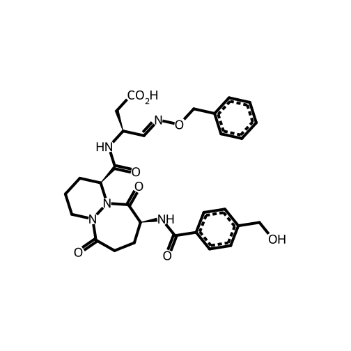 O=C(O)C[C@@H](/C=N/OCc1ccccc1)NC(=O)[C@@H]1CCCN2C(=O)CC[C@H](NC(=O)c3ccc(CO)cc3)C(=O)N12